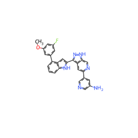 COc1cc(F)cc(-c2cccc3[nH]c(-c4n[nH]c5cnc(-c6cncc(N)c6)cc45)cc23)c1